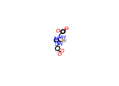 COc1ccc(CNc2nccn3c2c(Br)nc3[C@]2(C)CC[C@@](C)(C(=O)OC)CC2)c(OC)c1